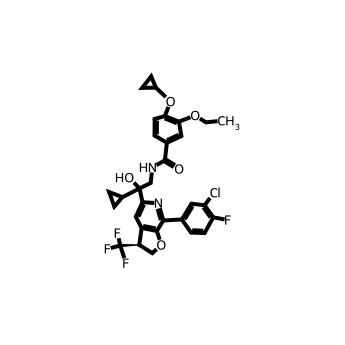 CCOc1cc(C(=O)NCC(O)(c2cc3c(c(-c4ccc(F)c(Cl)c4)n2)OC[C@H]3C(F)(F)F)C2CC2)ccc1OC1CC1